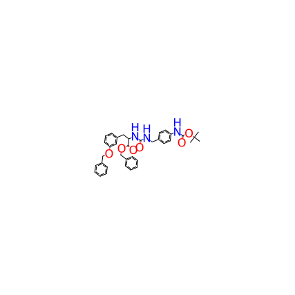 CC(C)(C)OC(=O)Nc1ccc(CNC(=O)NC(Cc2cccc(OCc3ccccc3)c2)C(=O)OCc2ccccc2)cc1